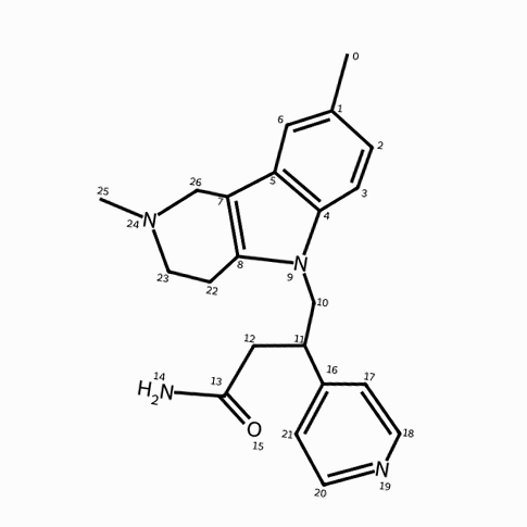 Cc1ccc2c(c1)c1c(n2CC(CC(N)=O)c2ccncc2)CCN(C)C1